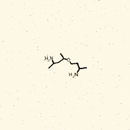 CC(N)CCOC(C)CC(C)N